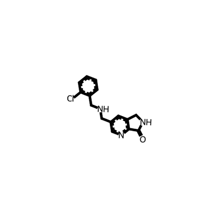 O=C1NCc2cc(CNCc3ccccc3Cl)cnc21